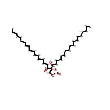 CCCCCCCCCCCCCCCCCC(=O)C1(C(=O)CCCCCCCCCCCCCCCCC)C[O][Ti](=[O])[O]1